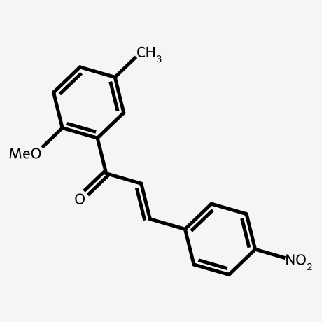 COc1ccc(C)cc1C(=O)/C=C/c1ccc([N+](=O)[O-])cc1